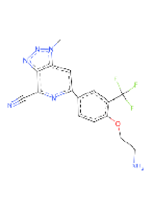 Cn1nnc2c(C#N)nc(-c3ccc(OCCN)c(C(F)(F)F)c3)cc21